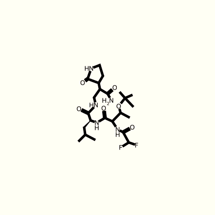 CC(C)C[C@H](NC(=O)C(NC(=O)C(F)F)C(C)OC(C)(C)C)C(=O)NCC(C(N)=O)C1CCNC1=O